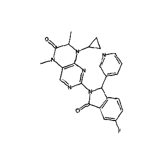 CC1C(=O)N(C)c2cnc(N3C(=O)c4cc(F)ccc4C3c3cccnc3)nc2N1C1CC1